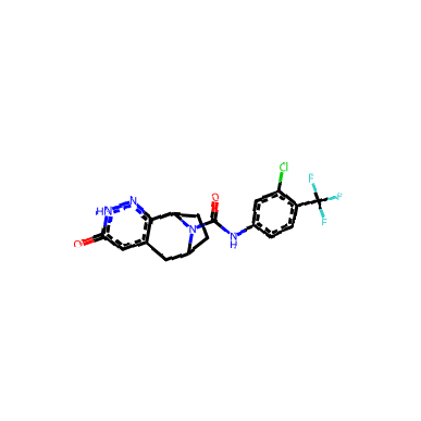 O=C(Nc1ccc(C(F)(F)F)c(Cl)c1)N1C2CCC1c1n[nH]c(=O)cc1C2